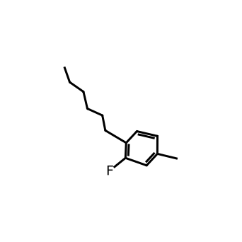 CCCCCCc1ccc(C)cc1F